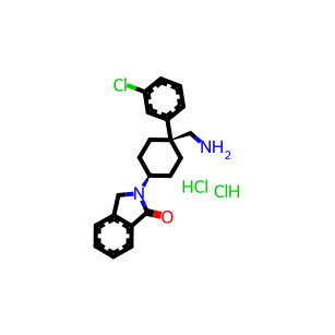 Cl.Cl.NC[C@]1(c2cccc(Cl)c2)CC[C@H](N2Cc3ccccc3C2=O)CC1